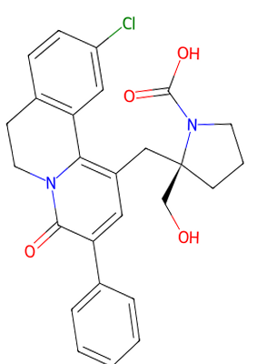 O=C(O)N1CCC[C@]1(CO)Cc1cc(-c2ccccc2)c(=O)n2c1-c1cc(Cl)ccc1CC2